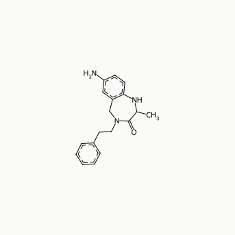 CC1Nc2ccc(N)cc2CN(CCc2ccccc2)C1=O